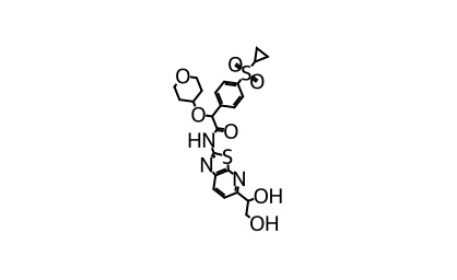 O=C(Nc1nc2ccc(C(O)CO)nc2s1)C(OC1CCOCC1)c1ccc(S(=O)(=O)C2CC2)cc1